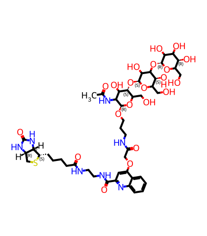 CC(=O)NC1C(O)[C@H](O[C@@H]2OC(CO)[C@H](O)C(O[C@H]3OC(CO)[C@H](O)C(O)C3O)C2O)C(CO)O[C@H]1OCCCNC(=O)COc1cc(C(=O)NCCNC(=O)CCCC[C@@H]2SC[C@@H]3NC(=O)N[C@@H]32)nc2ccccc12